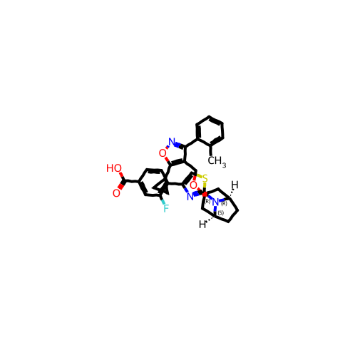 Cc1ccccc1-c1noc(C2CC2)c1CO[C@H]1C[C@H]2CC[C@@H](C1)N2c1nc(-c2ccc(C(=O)O)cc2F)cs1